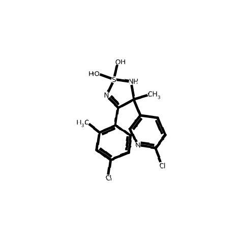 Cc1cc(Cl)ccc1C1=NS(O)(O)NC1(C)c1ccc(Cl)nc1